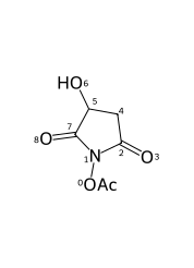 CC(=O)ON1C(=O)CC(O)C1=O